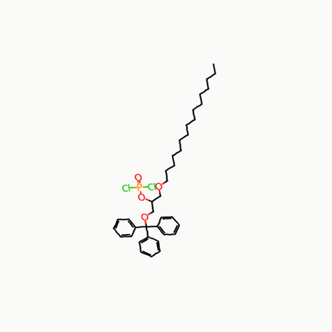 CCCCCCCCCCCCCCCCOCC(COC(c1ccccc1)(c1ccccc1)c1ccccc1)OP(=O)(Cl)Cl